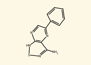 NC1=NSNc2ncc(-c3ccccc3)nc21